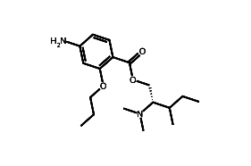 CCCOc1cc(N)ccc1C(=O)OC[C@H](C(C)CC)N(C)C